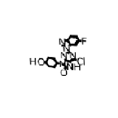 O=c1[nH]c2c(Cl)nc(N3C=NC4C=CC(F)=CC43)nc2n1C1CCC(O)CC1